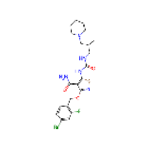 CC(CNC(=O)Nc1snc(OCc2ccc(Br)cc2F)c1C(N)=O)CN1CCCCC1